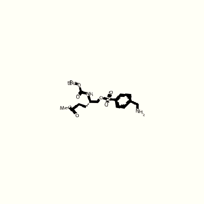 COC(=O)CC[C@@H](COS(=O)(=O)c1ccc(CN)cc1)NC(=O)OC(C)(C)C